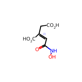 O=C(O)C/C(=C/C(=O)NO)C(=O)O